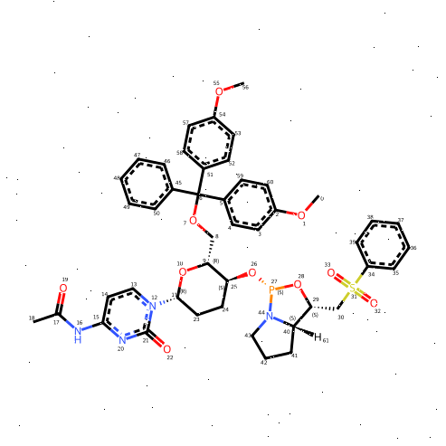 COc1ccc(C(OC[C@H]2O[C@@H](n3ccc(NC(C)=O)nc3=O)CC[C@@H]2O[P@]2O[C@H](CS(=O)(=O)c3ccccc3)[C@@H]3CCCN32)(c2ccccc2)c2ccc(OC)cc2)cc1